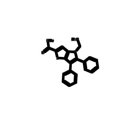 COCn1c(-c2ccccc2)c(-c2ccccc2)c2sc(C(=O)OC)cc21